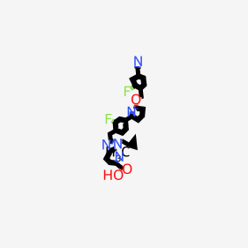 CC1(Cn2c(Cc3ccc(-c4cccc(OCc5ccc(C#N)cc5F)n4)cc3F)nc3ccc(C(=O)O)nc32)CC1